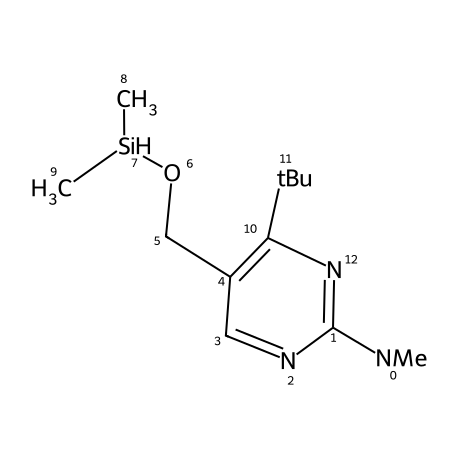 CNc1ncc(CO[SiH](C)C)c(C(C)(C)C)n1